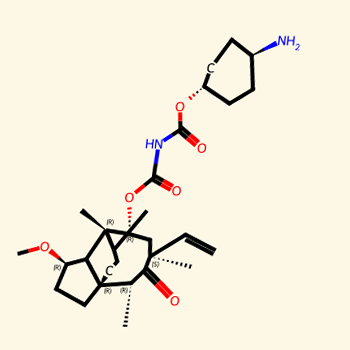 C=C[C@]1(C)C[C@@H](OC(=O)NC(=O)O[C@H]2CC[C@H](N)CC2)[C@]2(C)C(C)CC[C@]3(CC[C@@H](OC)C32)[C@@H](C)C1=O